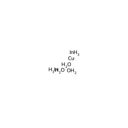 O.O.O.[Cu].[InH3].[InH3]